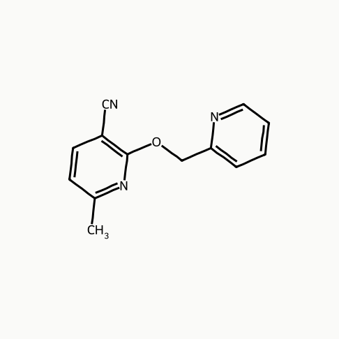 Cc1ccc(C#N)c(OCc2ccccn2)n1